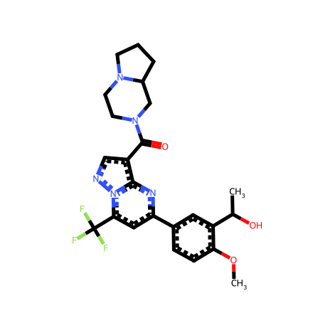 COc1ccc(-c2cc(C(F)(F)F)n3ncc(C(=O)N4CCN5CCCC5C4)c3n2)cc1C(C)O